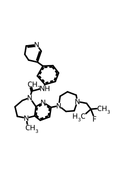 C=C(Nc1cccc(C2=CN=CCC2)c1)N1CCCN(C)c2ccc(N3CCCN(CC(C)(C)F)CC3)nc21